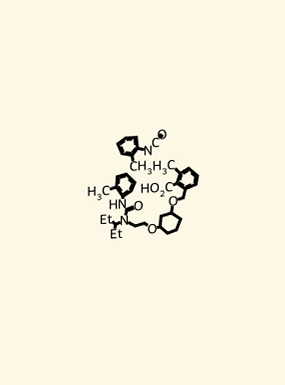 CCC(CC)N(CCOC1CCCC(OCc2cccc(C)c2C(=O)O)C1)C(=O)Nc1ccccc1C.Cc1ccccc1N=C=O